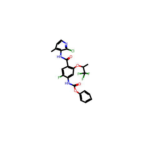 Cc1ccnc(Cl)c1NC(=O)c1cc(F)c(NC(=O)Oc2ccccc2)cc1OC(C)C(F)(F)F